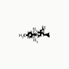 CCOCC1(CCC2CC2)CCN(C(C)(C)c2ccc(C)nc2)C1